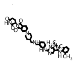 Cc1cccc(C)c1Nc1nn(C)c2nc(Nc3cccc(CNCC4CCN(c5ccc6c(c5)C(=O)N(C5CCC(=O)NC5=O)C6=O)CC4)c3)ncc12